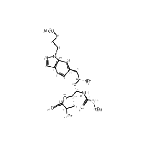 COCCCn1ncc2ccc(C[C@@H](C[C@H](NC(=O)OC(C)(C)C)[C@@H]3C[C@@H](C(C)C)C(=O)O3)C(C)C)cc21